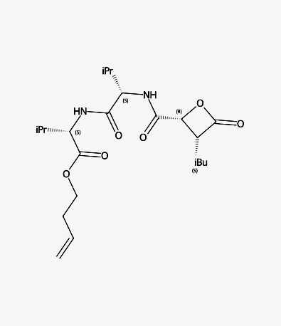 C=CCCOC(=O)[C@@H](NC(=O)[C@@H](NC(=O)[C@@H]1OC(=O)C1[C@@H](C)CC)C(C)C)C(C)C